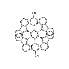 N#Cc1ccc(-c2c(-n3c4ccccc4c4ccccc43)c(-n3c4ccccc4c4ccccc43)c(-c3ccc(C#N)cc3)c(-n3c4ccccc4c4ccccc43)c2-n2c3ccccc3c3ccccc32)cc1